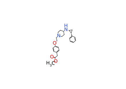 COC(=O)Cc1ccc(OCCN2CCC(N[C@@H]3C[C@H]3c3ccccc3)CC2)cc1